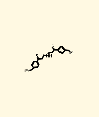 CC(C)Cc1ccc(C(=S)CCNCCC(=S)c2ccc(CC(C)C)cc2)cc1